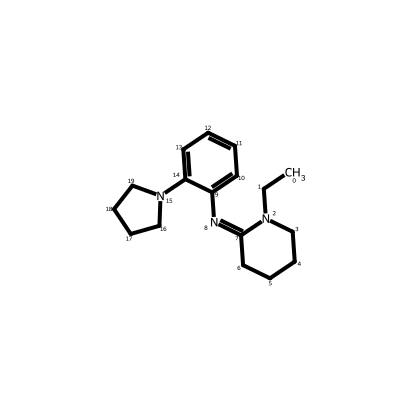 CCN1CCCCC1=Nc1ccccc1N1CCCC1